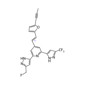 CC#Cc1ccc(/C=C/c2cc(-c3cc(CF)n[nH]3)nc(-c3cc(C(F)(F)F)n[nH]3)c2)o1